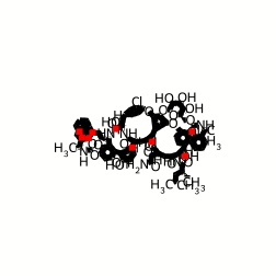 CC[C@H](CC(C)C)C(=O)N[C@H]1C(=O)C[C@@H](CC(N)=O)C(=O)N[C@H]2C(=O)C[C@@H]3C(=O)N[C@H](C(=O)N[C@H](C(=O)CC4C5CC6CC(C5)CC4C6)c4cc(OC(=O)N[C@@H](C)c5ccccc5)cc(O)c4-c4cc3ccc4O)[C@H](O)c3ccc(c(Cl)c3)Oc3cc2cc(c3OC2O[C@H](COC(=O)N[C@@H](C)c3ccccc3)[C@@H](O)[C@H](O)[C@H]2O)Oc2ccc(cc2Cl)[C@H]1O